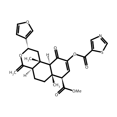 C=C1O[C@H](c2ccoc2)C[C@]2(C)[C@H]3C(=O)C(OC(=O)c4cncs4)=C[C@@H](C(=O)OC)[C@]3(C)CC[C@@H]12